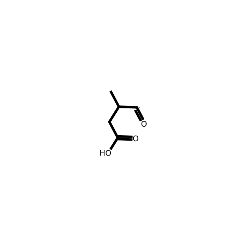 CC([C]=O)CC(=O)O